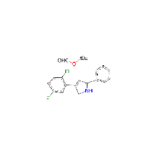 CC(C)(C)OC=O.Fc1ccc(Cl)c(C2=CC(c3ccccc3)NC2)c1